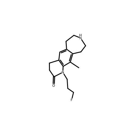 Cc1c2c(cc3c1N(CCCF)C(=O)CC3)CCNCC2